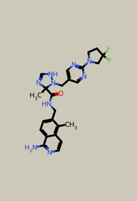 Cc1c(CNC(=O)C2(C)N=CNN2Cc2cnc(N3CCC(F)(F)C3)nc2)ccc2c(N)nccc12